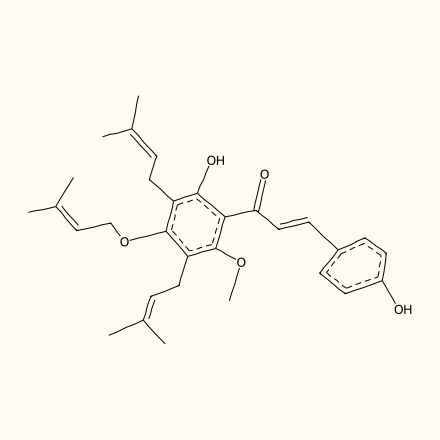 COc1c(CC=C(C)C)c(OCC=C(C)C)c(CC=C(C)C)c(O)c1C(=O)C=Cc1ccc(O)cc1